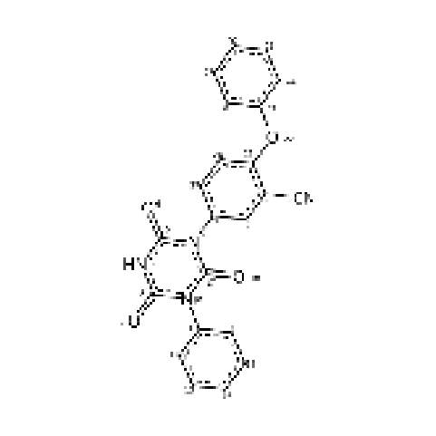 N#Cc1cc(-n2c(=O)[nH]c(=O)n(-c3ccccc3)c2=O)ccc1Oc1ccccc1